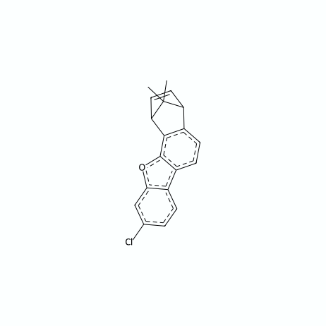 CC1(C)C2C=CC1c1c2ccc2c1oc1cc(Cl)ccc12